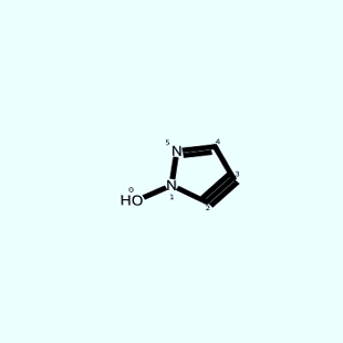 On1c#ccn1